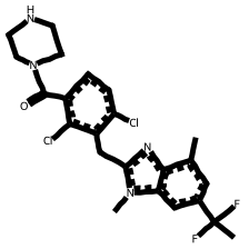 Cc1cc(C(C)(F)F)cc2c1nc(Cc1c(Cl)ccc(C(=O)N3CCNCC3)c1Cl)n2C